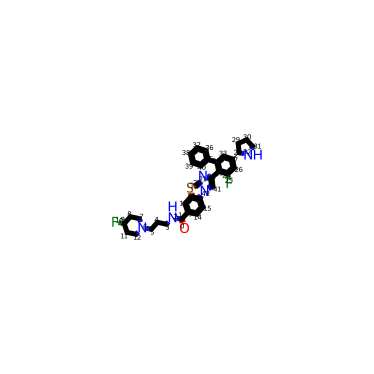 O=C(NCCCN1CCC(F)CC1)c1ccc2c(c1)sc1nc(-c3c(F)cc([C@@H]4CCCN4)cc3-c3ccccc3)cn12